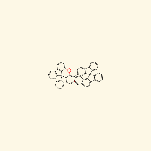 c1ccc(C2(c3ccccc3)c3ccccc3Oc3c(-c4ccc5c(c4)C4(c6ccccc6-5)c5ccccc5-c5ccc6ccccc6c54)cccc32)cc1